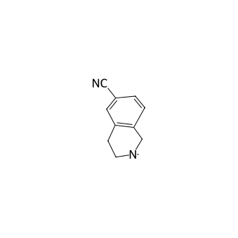 N#Cc1ccc2c(c1)CC[N]C2